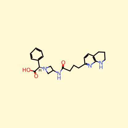 O=C(CCCc1ccc2c(n1)NCCC2)NC1CN([C@@H](C(=O)O)c2ccccc2)C1